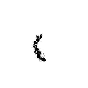 COc1ccccc1C(=O)N[C@H](C)c1ccc(-c2nn3c(c2C(N)=O)Nc2ccc(N4CCN(CC5CCN(c6ccc(N7CCC(=O)NC7=O)cc6)CC5)CC4)cc2CC3)cc1